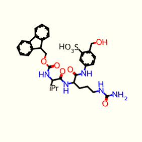 CC(C)C(NC(=O)OCC1c2ccccc2-c2ccccc21)C(=O)NC(CCCNC(N)=O)C(=O)Nc1ccc(CO)c(S(=O)(=O)O)c1